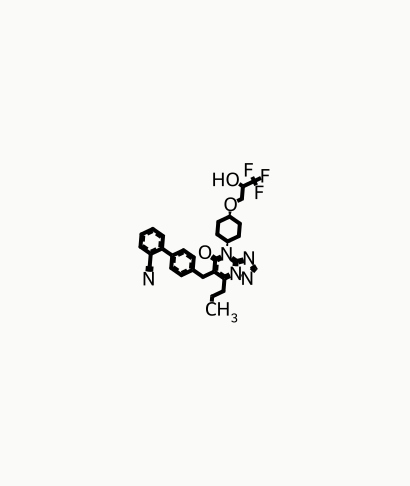 CCCc1c(Cc2ccc(-c3ccccc3C#N)cc2)c(=O)n([C@H]2CC[C@H](OCC(O)C(F)(F)F)CC2)c2ncnn12